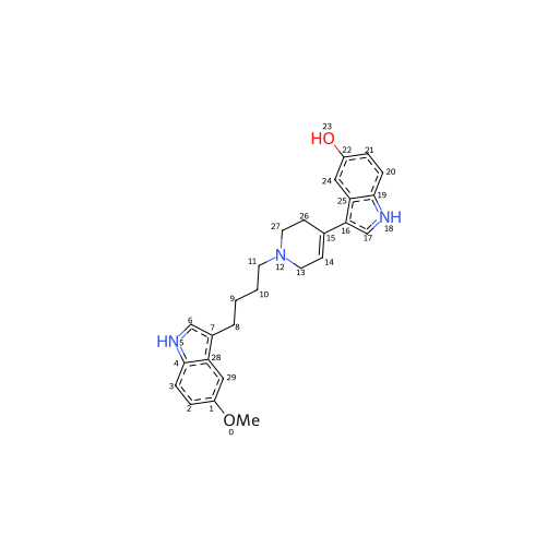 COc1ccc2[nH]cc(CCCCN3CC=C(c4c[nH]c5ccc(O)cc45)CC3)c2c1